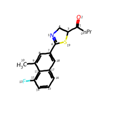 CCCC(=O)C1CN=C(c2cc(C)c3c(F)cccc3c2)S1